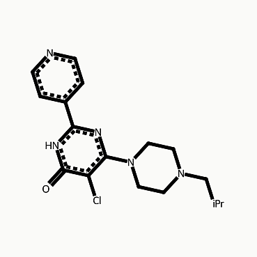 CC(C)CN1CCN(c2nc(-c3ccncc3)[nH]c(=O)c2Cl)CC1